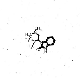 CN(C)CC(N(C)C)n1c(=O)[nH]c2ccccc21